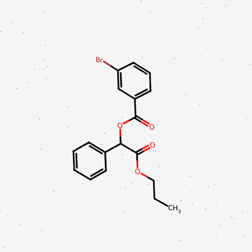 CCCOC(=O)C(OC(=O)c1cccc(Br)c1)c1ccccc1